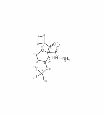 NNC(=O)C1(C(=O)C2CCC2)OCCC(OC(F)(F)F)O1